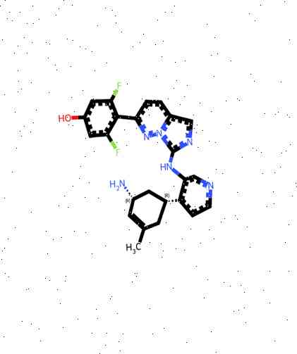 CC1=C[C@H](N)C[C@H](c2ccncc2Nc2ncc3ccc(-c4c(F)cc(O)cc4F)nn23)C1